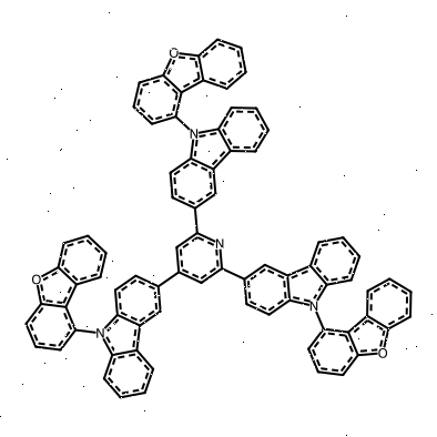 c1ccc2c(c1)oc1cccc(-n3c4ccccc4c4cc(-c5cc(-c6ccc7c(c6)c6ccccc6n7-c6cccc7oc8ccccc8c67)nc(-c6ccc7c(c6)c6ccccc6n7-c6cccc7oc8ccccc8c67)c5)ccc43)c12